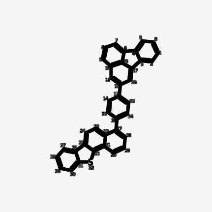 c1ccc2c(c1)-c1cccc3cc(-c4ccc(-c5cccc6c5ccc5c7ccccc7sc65)cc4)cc-2c13